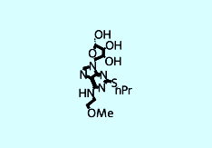 CCCSc1nc(NCCOC)c2ncn([C@@H]3O[C@H](CO)[C@@H](O)[C@H]3O)c2n1